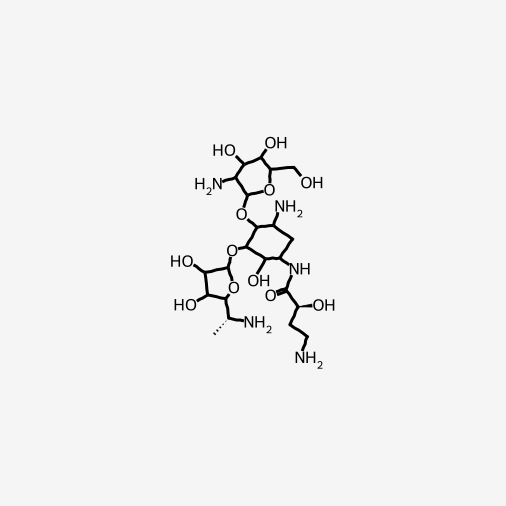 C[C@@H](N)C1OC(OC2C(O)C(NC(=O)[C@@H](O)CCN)CC(N)C2OC2OC(CO)C(O)C(O)C2N)C(O)C1O